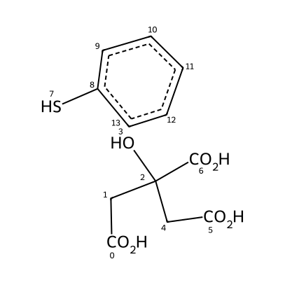 O=C(O)CC(O)(CC(=O)O)C(=O)O.Sc1ccccc1